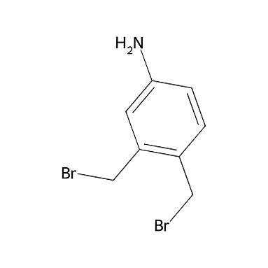 Nc1ccc(CBr)c(CBr)c1